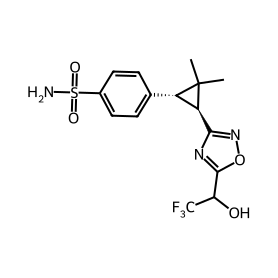 CC1(C)[C@@H](c2ccc(S(N)(=O)=O)cc2)[C@@H]1c1noc(C(O)C(F)(F)F)n1